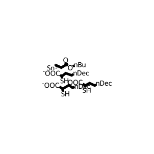 CCCCCCCCCCCCC(S)C(=O)[O-].CCCCCCCCCCCCC(S)C(=O)[O-].CCCCCCCCCCCCC(S)C(=O)[O-].CCCCOC(=O)C[CH2][Sn+3]